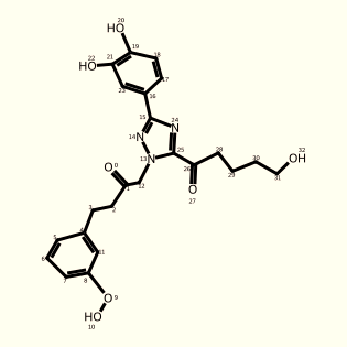 O=C(CCc1cccc(OO)c1)Cn1nc(-c2ccc(O)c(O)c2)nc1C(=O)CCCCO